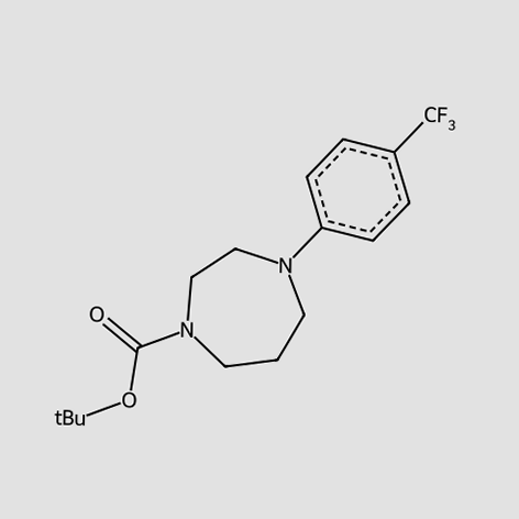 CC(C)(C)OC(=O)N1CCCN(c2ccc(C(F)(F)F)cc2)CC1